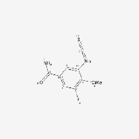 COc1c(F)cc(C(N)=O)cc1N=C=S